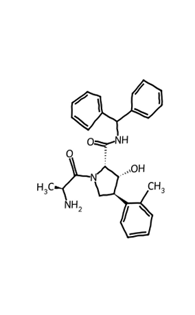 Cc1ccccc1[C@H]1CN(C(=O)[C@H](C)N)[C@H](C(=O)NC(c2ccccc2)c2ccccc2)[C@@H]1O